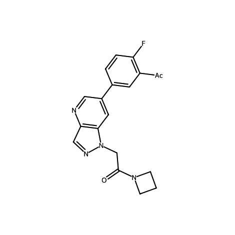 CC(=O)c1cc(-c2cnc3cnn(CC(=O)N4CCC4)c3c2)ccc1F